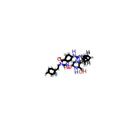 Cc1ccc(CCn2cnc3cc(N/C(=N/[C@H]4C[C@@H]5C[C@H]([C@@H]4C)C5(C)C)N4CC(O)NC(CO)C4)ccc3c2=O)c(F)c1